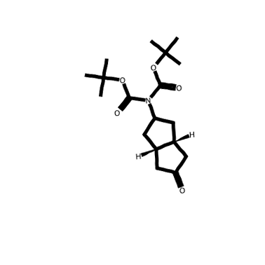 CC(C)(C)OC(=O)N(C(=O)OC(C)(C)C)C1C[C@H]2CC(=O)C[C@H]2C1